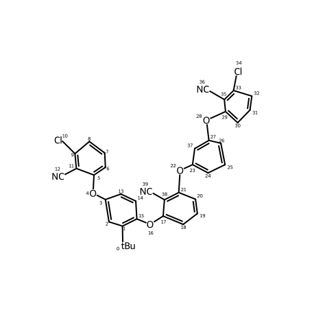 CC(C)(C)c1cc(Oc2cccc(Cl)c2C#N)ccc1Oc1cccc(Oc2cccc(Oc3cccc(Cl)c3C#N)c2)c1C#N